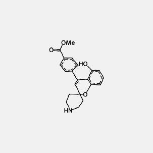 COC(=O)c1ccc(C2=CC3(CCNCC3)Oc3cccc(O)c32)cc1